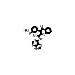 CCC(Nc1ncnc2[nH]cnc12)c1oc2ccccc2c(=O)c1-c1cccc(F)c1.Cl